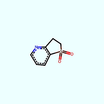 O=S1(=O)CCc2ncccc21